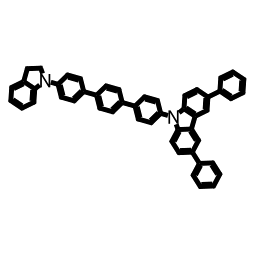 c1ccc(-c2ccc3c(c2)c2cc(-c4ccccc4)ccc2n3-c2ccc(-c3ccc(-c4ccc(N5CCc6ccccc65)cc4)cc3)cc2)cc1